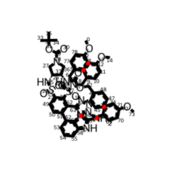 COc1ccc(CN(Cc2ccc(OC)cc2)S(=O)(=O)c2c(S(=O)(=O)N[C@@H]3CN(C(=O)OC(C)(C)C)C[C@H]3NC(=O)OCc3ccccc3)ccc(-c3cccc4[nH]c(N)nc34)c2-c2nnn(Cc3ccc(OC)cc3)n2)cc1